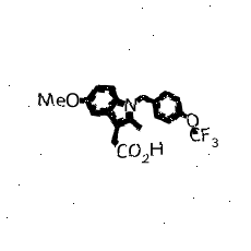 COc1ccc2c(c1)c(CC(=O)O)c(C)n2Cc1ccc(OC(F)(F)F)cc1